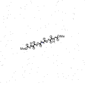 COC(=O)CNC(=O)C(=O)COC(=O)/C=C/C(=O)OCC(=O)C(=O)NCC(=O)OC